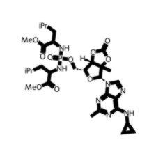 COC(=O)C(CC(C)C)NP(=O)(NC(CC(C)C)C(=O)OC)OC[C@H]1O[C@@H](n2cnc3c(NC4CC4)nc(C)nc32)C2(C)OC(=O)O[C@@H]12